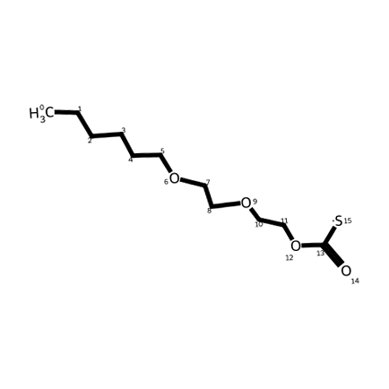 CCCCCCOCCOCCOC(=O)[S]